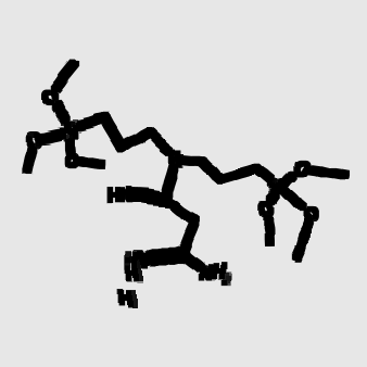 CO[Si](CCCN(CCC[Si](OC)(OC)OC)C(=N)CC(=N)N)(OC)OC.I.I